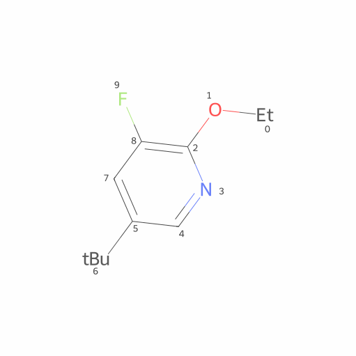 CCOc1ncc(C(C)(C)C)cc1F